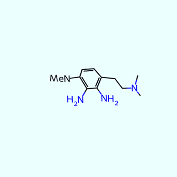 CNc1ccc(CCN(C)C)c(N)c1N